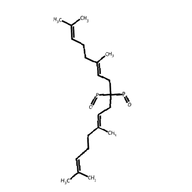 CC(C)=CCC/C(C)=C/CC(C/C=C(\C)CCC=C(C)C)(P=O)P=O